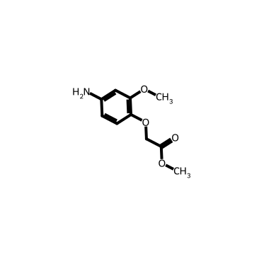 COC(=O)COc1ccc(N)cc1OC